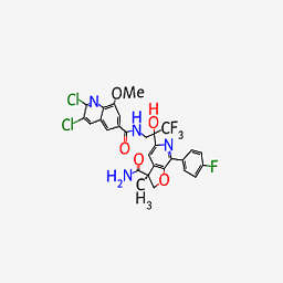 COc1cc(C(=O)NCC(O)(c2cc3c(c(-c4ccc(F)cc4)n2)OC[C@]3(C)C(N)=O)C(F)(F)F)cc2cc(Cl)c(Cl)nc12